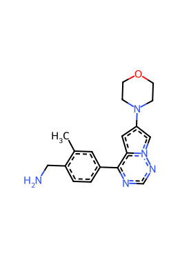 Cc1cc(-c2ncnn3cc(N4CCOCC4)cc23)ccc1CN